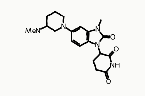 CNC1CCCN(c2ccc3c(c2)n(C)c(=O)n3C2CCC(=O)NC2=O)C1